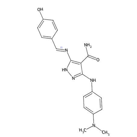 CN(C)c1ccc(Nc2n[nH]c(/N=C/c3ccc(O)cc3)c2C(N)=O)cc1